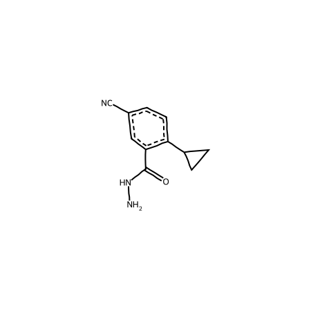 N#Cc1ccc(C2CC2)c(C(=O)NN)c1